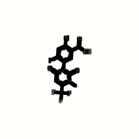 Cn1c(C(F)(F)F)cc(=O)n(-c2cc(C(=O)O)c(Cl)cc2F)c1=O